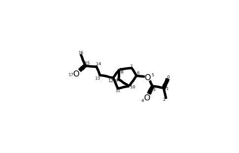 C=C(C)C(=O)OC1CC2CC1CC2CCC(C)=O